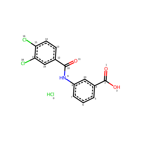 Cl.O=C(O)c1cccc(NC(=O)c2ccc(Cl)c(Cl)c2)c1